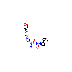 O=C(CNC(=O)c1cccc(C(F)(F)F)c1)N[C@@H]1CCN(C2CCC(N3CCOCC3)CC2)C1